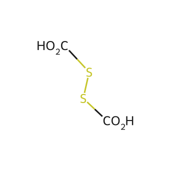 O=C(O)SSC(=O)O